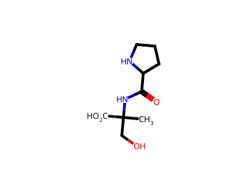 CC(CO)(NC(=O)C1CCCN1)C(=O)O